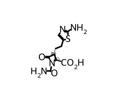 NC(=O)N1C(=O)[C@H](CCc2cnc(N)s2)[C@H]1C(=O)O